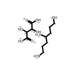 NCCCC(N)CCCO.O=C(O)C(O)C(O)C(=O)O